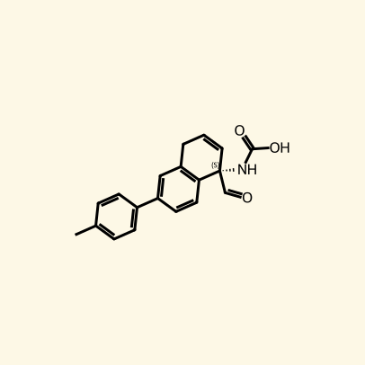 Cc1ccc(-c2ccc3c(c2)CC=C[C@]3(C=O)NC(=O)O)cc1